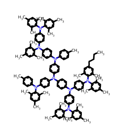 CCCCc1cc(C)c(N(c2ccc(N(c3ccc(N(c4ccc(N(c5ccc(C)cc5)c5ccc(N(c6ccc(N(c7c(C)cc(C)cc7C)c7c(C)cc(C)cc7C)cc6)c6c(C)cc(C)cc6C)cc5)cc4)c4ccc(N(c5ccc(C)cc5)c5c(C)cc(C)cc5C)cc4)cc3)c3ccc(N(c4c(C)cc(C)cc4C)c4c(C)cc(C)cc4C)cc3)cc2)c2c(C)cc(C)cc2C)c(C)c1